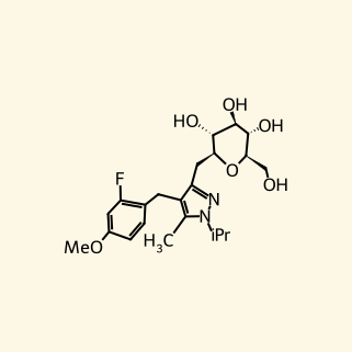 COc1ccc(Cc2c(C[C@@H]3O[C@H](CO)[C@@H](O)[C@H](O)[C@H]3O)nn(C(C)C)c2C)c(F)c1